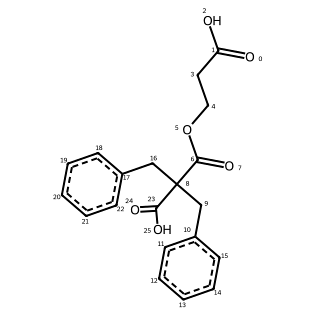 O=C(O)CCOC(=O)C(Cc1ccccc1)(Cc1ccccc1)C(=O)O